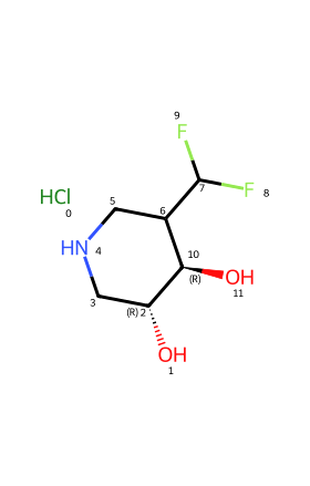 Cl.O[C@@H]1CNCC(C(F)F)[C@H]1O